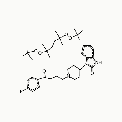 CC(C)(C)OOC(C)(C)CCC(C)(C)OOC(C)(C)C.O=C(CCCN1CC=C(n2c(=O)[nH]c3ccccc32)CC1)c1ccc(F)cc1